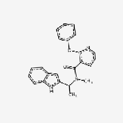 CC(c1cc2ccccc2[nH]1)N(C)C(=O)c1cccnc1Oc1ccccc1